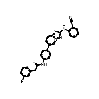 N#Cc1ccccc1Nc1nc2ccc(-c3ccc(NC(=O)Cc4cccc(F)c4)cc3)cn2n1